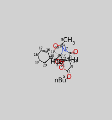 CCCCOC1C[C@H]2C(=O)N3[C@H](C)OC[C@@]3([C@H](O)[C@@H]3C=CCCC3)[C@@]2(C)O1